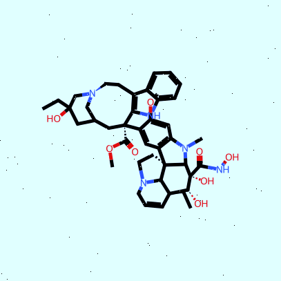 CCC1(O)CC2C[N@](CCc3c([nH]c4ccccc34)[C@@](C(=O)OC)(c3cc4c(cc3OC)N(C)C3[C@]45CCN4CC=C[C@](CC)(C45)[C@@H](O)[C@]3(O)C(=O)NO)C2)C1